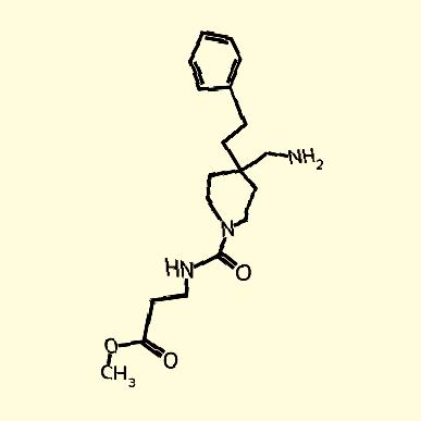 COC(=O)CCNC(=O)N1CCC(CN)(CCc2ccccc2)CC1